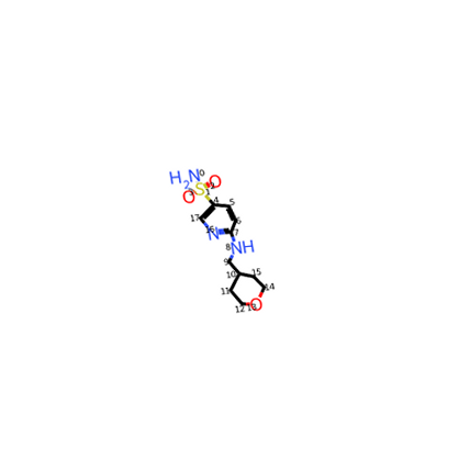 NS(=O)(=O)c1ccc(NCC2CCOCC2)nc1